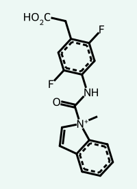 C[N+]1(C(=O)Nc2cc(F)c(CC(=O)O)cc2F)C=Cc2ccccc21